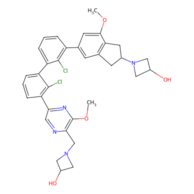 COc1cc(-c2cccc(-c3cccc(-c4cnc(CN5CC(O)C5)c(OC)n4)c3Cl)c2Cl)cc2c1CC(N1CC(O)C1)C2